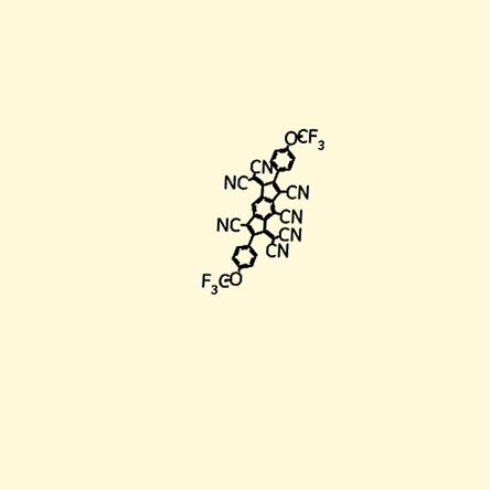 N#CC(C#N)=C1C(c2ccc(OC(F)(F)F)cc2)=C(C#N)c2c1cc1c(c2C#N)C(=C(C#N)C#N)C(c2ccc(OC(F)(F)F)cc2)=C1C#N